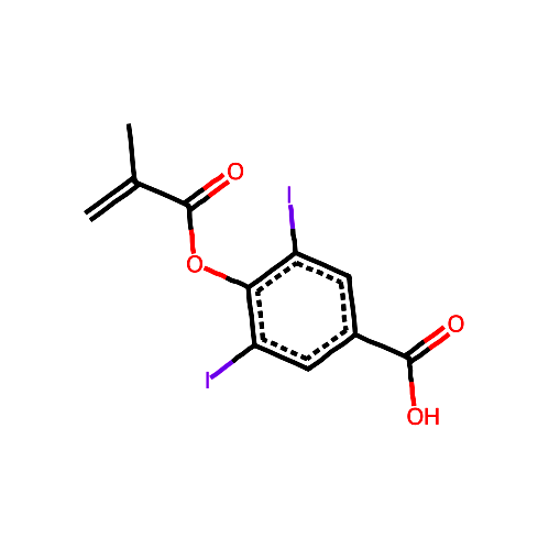 C=C(C)C(=O)Oc1c(I)cc(C(=O)O)cc1I